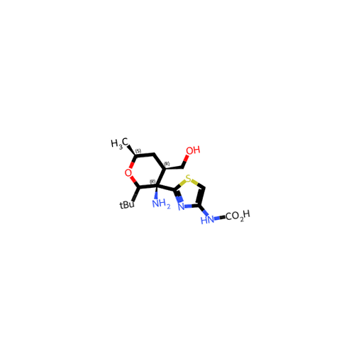 C[C@H]1C[C@@H](CO)[C@](N)(c2nc(NC(=O)O)cs2)C(C(C)(C)C)O1